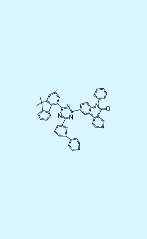 CC1(C)c2ccccc2-c2c(-c3nc(-c4cccc(-c5ccccc5)c4)nc(-c4ccc5c(c4)c4ccccc4c(=O)n5-c4ccccc4)n3)cccc21